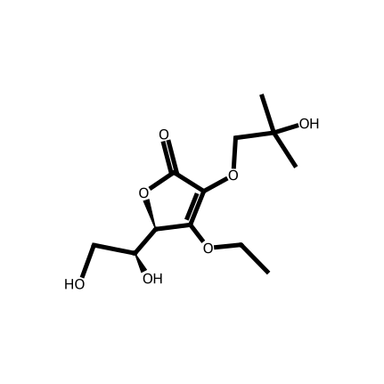 CCOC1=C(OCC(C)(C)O)C(=O)O[C@@H]1[C@@H](O)CO